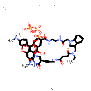 CCN(Cc1cn(CC(=O)NCCNC(=O)c2ccc(-c3c4ccc(=[N+](C)C)cc-4oc4cc(N(C)C)ccc34)c(C(=O)O)c2)c2ccccc12)C(=O)CCC(=O)NCC#Cc1cn(C2CC(O)C(COP(=O)(O)OP(=O)(O)OP(=O)(O)O)O2)c(=O)[nH]c1=O